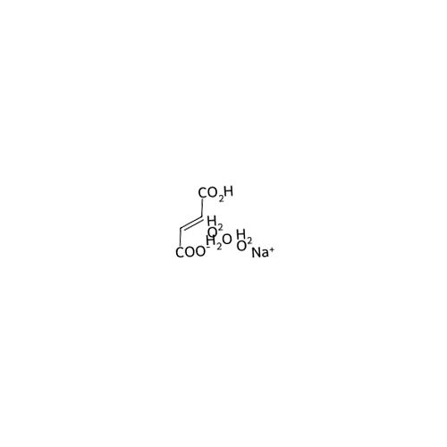 O.O.O.O=C([O-])C=CC(=O)O.[Na+]